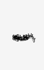 C[C@H]1C[C@@]12c1noc(=O)n1C(=O)c1cc3cc([C@H]4CCOC(C)(C)C4)ccc3n12